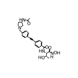 CC(=O)N[C@@H]1CCN(Cc2ccc(C#Cc3ccc(C(=O)N[C@H](C(=O)NO)[C@@H](C)O)cc3)cc2)C1